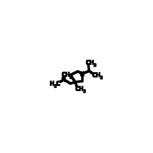 CC(C)N1CCC(C)(CN(C)C)C1